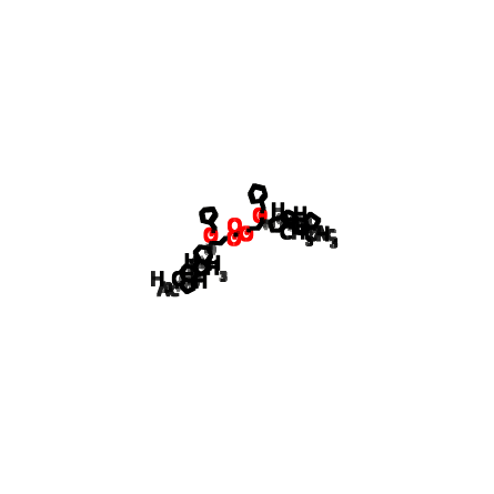 CC(=O)[C@H]1CC[C@H]2[C@@H]3CC[C@H]4C[C@H](C(CCOC(=O)OCCC(OCc5ccccc5)[C@@H]5CC[C@@]6(C)[C@@H](CC[C@@H]7[C@@H]6CC[C@]6(C)[C@@H](C(C)=O)CC[C@@H]76)C5)OCc5ccccc5)CC[C@]4(C)[C@H]3CC[C@]12C